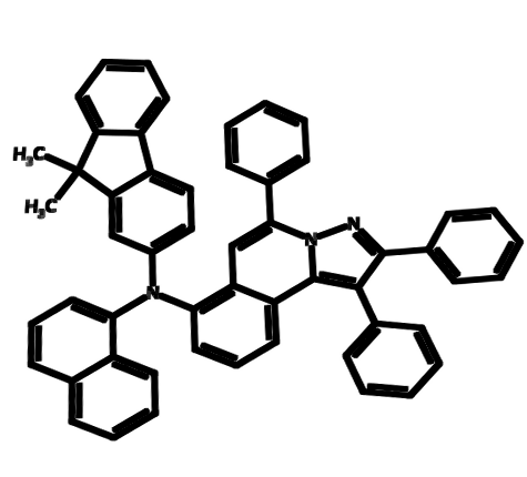 CC1(C)c2ccccc2-c2ccc(N(c3cccc4ccccc34)c3cccc4c3cc(-c3ccccc3)n3nc(-c5ccccc5)c(-c5ccccc5)c43)cc21